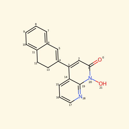 O=c1cc(C2=Cc3ccccc3CC2)c2cccnc2n1O